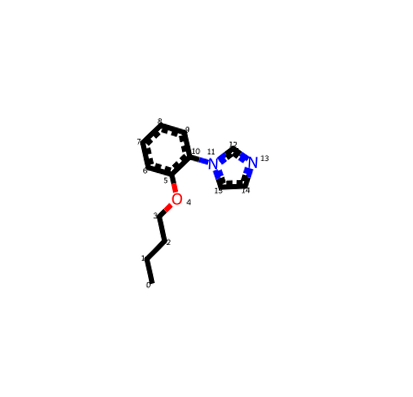 CCCCOc1ccccc1-n1[c]ncc1